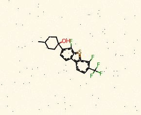 CC1CCC(O)(c2ccc3c(sc4c(F)c(C(F)(F)F)ccc43)c2F)CC1